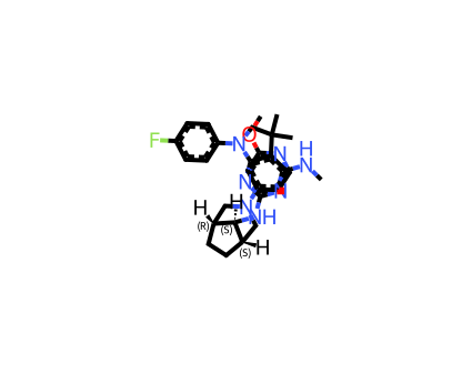 CNc1nc(N[C@@H]2[C@@H]3CC[C@H]2CN(c2ccnc(OC)c2)C3)nc2c1C(C)(C)CN2c1ccc(F)cc1